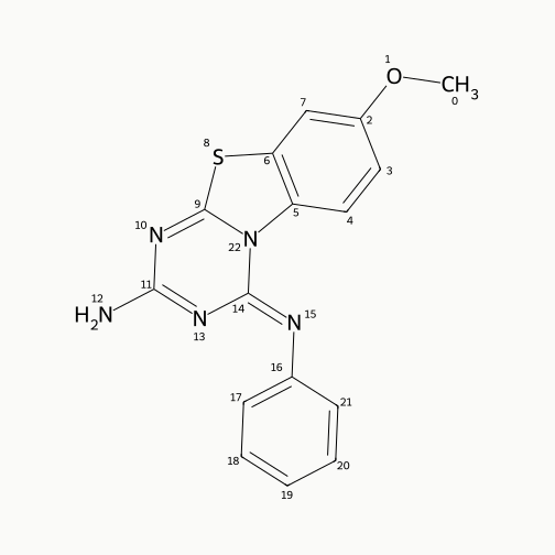 COc1ccc2c(c1)sc1nc(N)nc(=Nc3ccccc3)n12